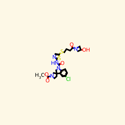 COC(=O)N1CCC2(C1)CN(C(=O)Nc1ncc(SCCCC(=O)N3CC(O)C3)s1)c1ccc(Cl)cc12